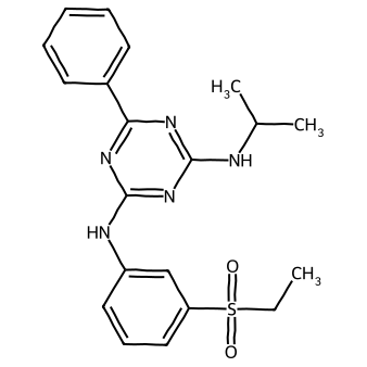 CCS(=O)(=O)c1cccc(Nc2nc(NC(C)C)nc(-c3ccccc3)n2)c1